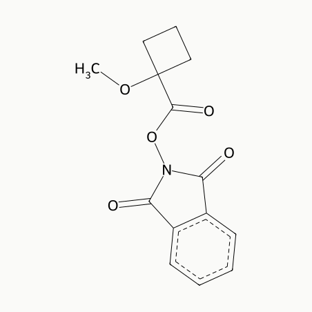 COC1(C(=O)ON2C(=O)c3ccccc3C2=O)CCC1